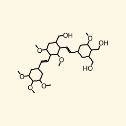 COC1CC(CO)C(/C=C/C2CC(CO)C(CO)C(OC)C2)C(OC)C1/C=C/C1CC(OC)C(OC)C(OC)C1